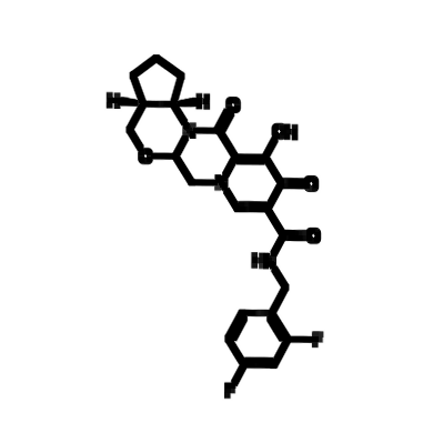 O=C(NCc1ccc(F)cc1F)c1cn2c(c(O)c1=O)C(=O)N1C(C2)OC[C@@H]2CCC[C@@H]21